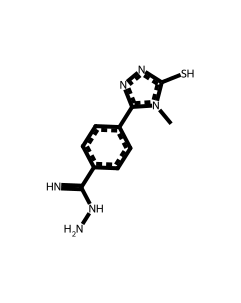 Cn1c(S)nnc1-c1ccc(C(=N)NN)cc1